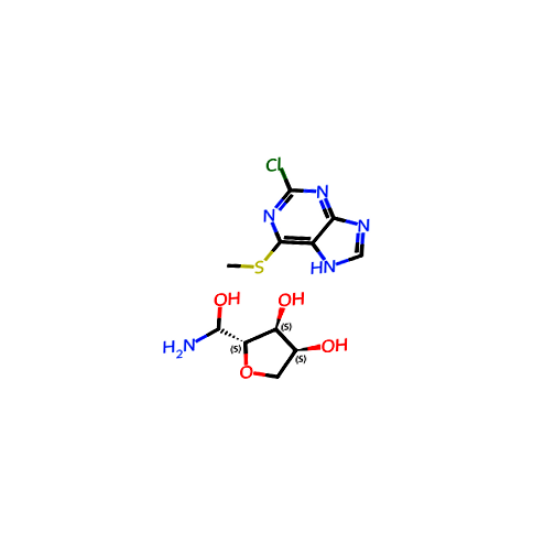 CSc1nc(Cl)nc2nc[nH]c12.NC(O)[C@H]1OC[C@H](O)[C@@H]1O